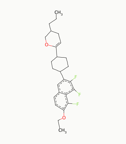 CCCC1CC=C(C2CCC(c3cc4ccc(OCC)c(F)c4c(F)c3F)CC2)OC1